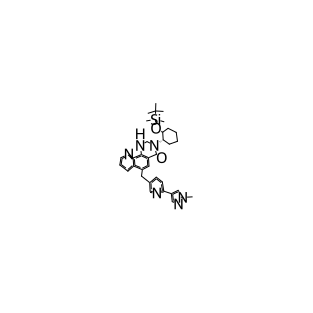 Cn1cc(-c2ccc(Cc3cc4c(c5ncccc35)NCN([C@H]3CCCC[C@@H]3O[Si](C)(C)C(C)(C)C)C4=O)cn2)cn1